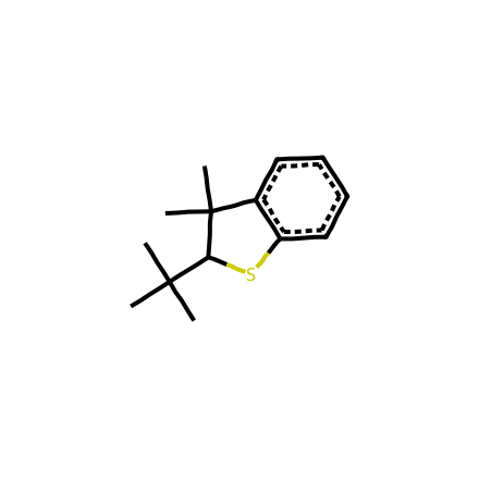 CC(C)(C)C1Sc2ccccc2C1(C)C